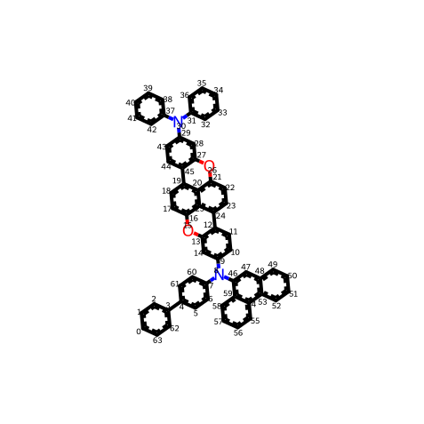 c1ccc(-c2ccc(N(c3ccc4c(c3)Oc3ccc5c6c(ccc-4c36)Oc3cc(N(c4ccccc4)c4ccccc4)ccc3-5)c3cc4ccccc4c4ccccc34)cc2)cc1